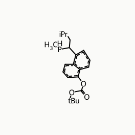 CPC(CC(C)C)c1cccc2c(OC(=O)OC(C)(C)C)cccc12